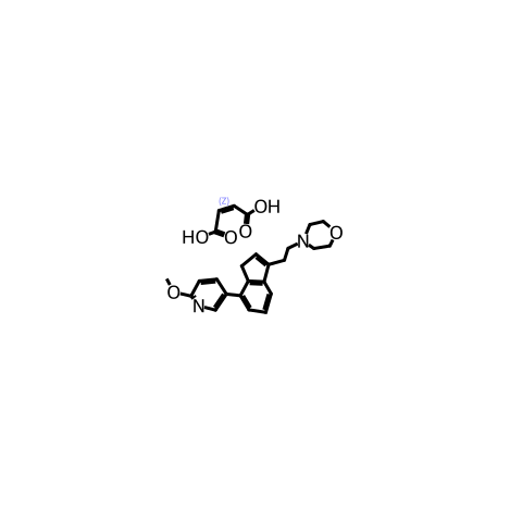 COc1ccc(-c2cccc3c2CC=C3CCN2CCOCC2)cn1.O=C(O)/C=C\C(=O)O